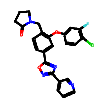 O=C1CCCN1Cc1ccc(-c2nc(-c3cccnc3)no2)cc1Oc1ccc(Cl)c(F)c1